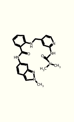 CN(C)C(=O)Nc1cc(CNc2ccccc2C(=O)Nc2ccc3cn(C)nc3c2)ccn1